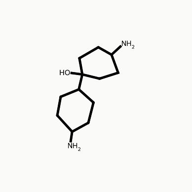 NC1CCC(C2(O)CCC(N)CC2)CC1